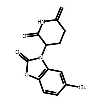 C=C1CCC(n2c(=O)oc3ccc(C(C)(C)C)cc32)C(=O)N1